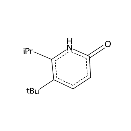 CC(C)c1[nH]c(=O)ccc1C(C)(C)C